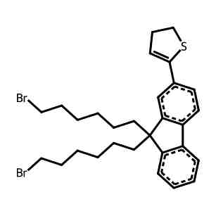 BrCCCCCCC1(CCCCCCBr)c2ccccc2-c2ccc(C3=CCCS3)cc21